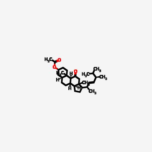 CC(=O)O[C@H]1CC[C@@]2(C)[C@@H](CC[C@H]3[C@@H]4CC[C@H]([C@H](C)/C=C/[C@H](C)C(C)C)[C@@]4(C)CC(=O)[C@@H]32)C1